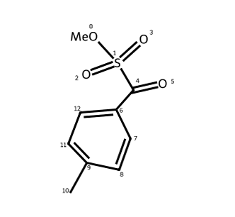 COS(=O)(=O)C(=O)c1ccc(C)cc1